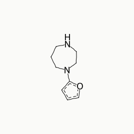 c1coc(N2CCCNCC2)c1